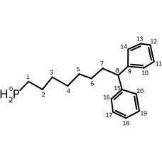 PCCCCCCCC(c1ccccc1)c1ccccc1